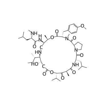 CC[C@H](C)[C@H]1NC[C@@H](NC(=O)[C@@H](CC(C)C)NC)[C@@H](C)OC(=O)[C@H](Cc2ccc(OC)cc2)N(C)C(=O)C2CCCN2C(=O)[C@H](CC(C)C)NC(=O)[C@@H](C)C(=O)[C@H](C(C)C)OC(=O)C[C@@H]1O